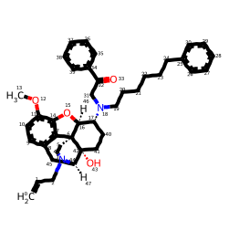 C=CCN1CC[C@]23c4c5ccc(OC)c4O[C@H]2[C@H](N(CCCCCCc2ccccc2)CC(=O)c2ccccc2)CC[C@@]3(O)[C@H]1C5